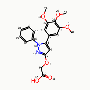 COc1cc(-c2cc(OCC(=O)O)nn2-c2ccccc2)cc(OC)c1OC